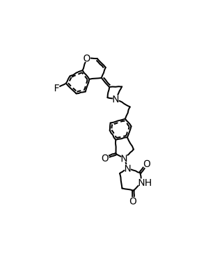 O=C1CCN(N2Cc3cc(CN4CC(=C5C=COc6cc(F)ccc65)C4)ccc3C2=O)C(=O)N1